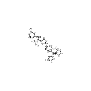 Cc1ncc(Cl)cc1NC(C)c1ccc(C(=O)NC(CC2CCCC2)C(=O)Nc2cc[nH]n2)s1